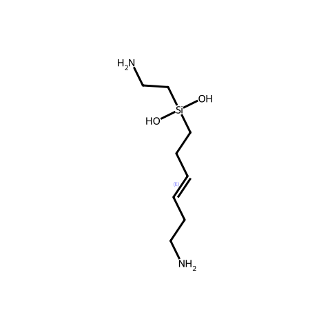 NCC/C=C/CC[Si](O)(O)CCN